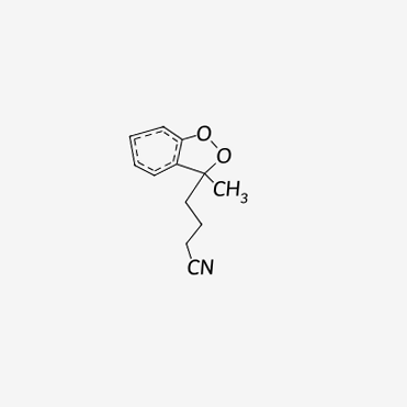 CC1(CCCC#N)OOc2ccccc21